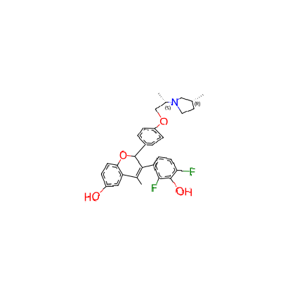 CC1=C(c2ccc(F)c(O)c2F)C(c2ccc(OC[C@H](C)N3CC[C@@H](C)C3)cc2)Oc2ccc(O)cc21